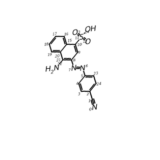 N#Cc1ccc(N=Nc2cc(S(=O)(=O)O)c3ccccc3c2N)cc1